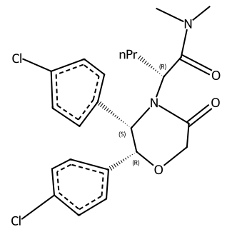 CCC[C@H](C(=O)N(C)C)N1C(=O)CO[C@H](c2ccc(Cl)cc2)[C@@H]1c1ccc(Cl)cc1